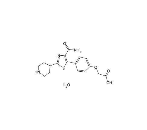 NC(=O)c1nc(C2CCNCC2)sc1-c1ccc(OCC(=O)O)cc1.O